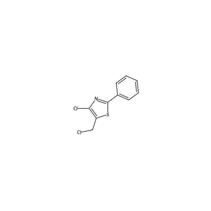 ClCc1sc(-c2ccccc2)nc1Cl